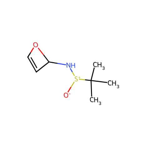 CC(C)(C)[S+]([O-])NC1C=CO1